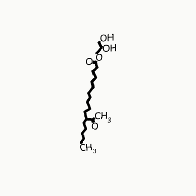 CCCCCCC(CCCCCCCCCCC(=O)OCC(O)CO)C(C)=O